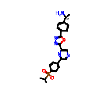 CC(C)S(=O)(=O)c1ccc(-c2cncc(-c3nnc(-c4ccc([C@H](C)N)cc4)o3)n2)cc1